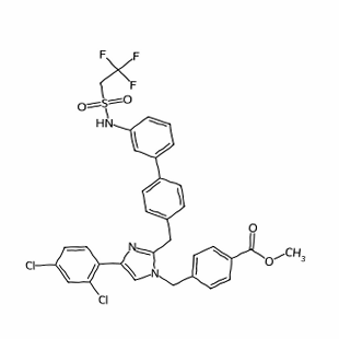 COC(=O)c1ccc(Cn2cc(-c3ccc(Cl)cc3Cl)nc2Cc2ccc(-c3cccc(NS(=O)(=O)CC(F)(F)F)c3)cc2)cc1